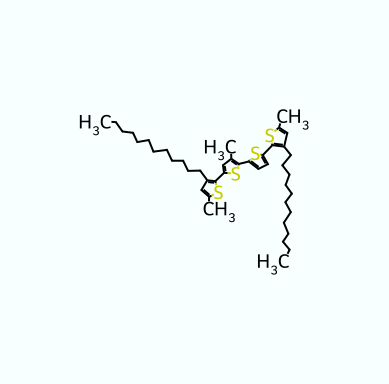 CCCCCCCCCCCCc1cc(C)sc1-c1ccc(-c2sc(-c3sc(C)cc3CCCCCCCCCCCC)cc2C)s1